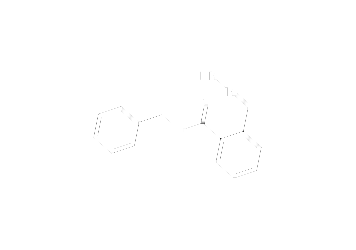 B/B=C\c1ccccc1C(=O)OCc1ccccc1